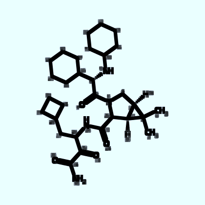 CC1(C)[C@@H]2CN(C(=O)[C@@H](NC3CCCCC3)C3CCCCC3)C(C(=O)NC(CC3CCC3)C(=O)C(N)=O)[C@@H]21